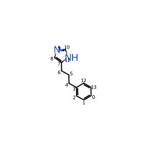 c1ccc(CCCc2cnc[nH]2)cc1